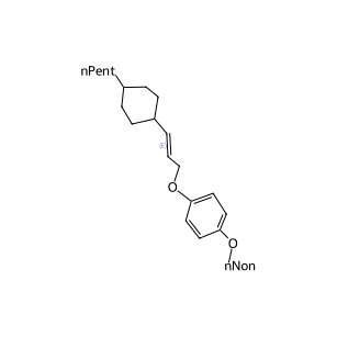 CCCCCCCCCOc1ccc(OC/C=C/C2CCC(CCCCC)CC2)cc1